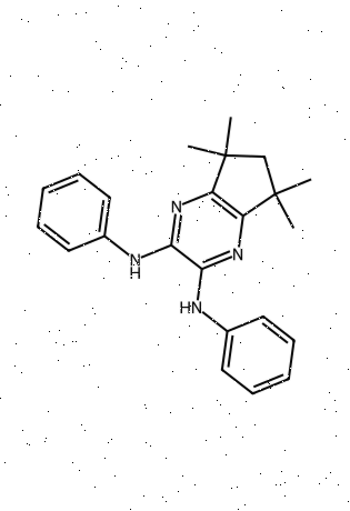 CC1(C)CC(C)(C)c2nc(Nc3ccccc3)c(Nc3ccccc3)nc21